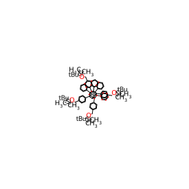 CC(C)(C)[Si](C)(C)OCc1ccc([C]23[CH]4[C]5(c6ccc(CO[Si](C)(C)C(C)(C)C)cc6)[C]6(c7ccccc7)[C]2(c2ccccc2)[Fe]43562789[CH]3[C]2(c2ccc(CO[Si](C)(C)C(C)(C)C)cc2)[C]7(c2ccccc2)[C]8(c2ccccc2)[C]39c2ccc(CO[Si](C)(C)C(C)(C)C)cc2)cc1